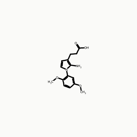 COc1ccc(OC)c(-n2ccc(CCC(=O)O)c2N)c1